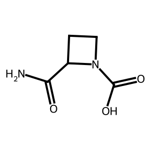 NC(=O)C1CCN1C(=O)O